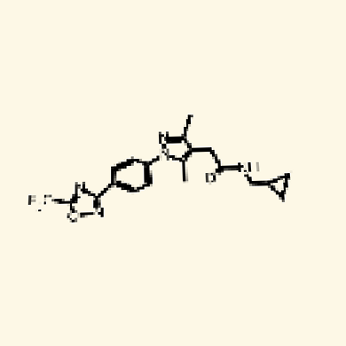 Cc1nn(-c2ccc(-c3noc(C(F)(F)F)n3)cc2)c(C)c1CC(=O)NCC1CC1